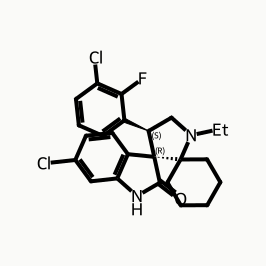 CCN1C[C@H](c2cccc(Cl)c2F)[C@]2(C(=O)Nc3cc(Cl)ccc32)C12CCCCC2